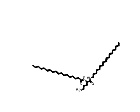 CCCCCC=CCC=CCCCCCCCCNC(=O)C(CCCN)NC(=O)CCCCCCCC=CCC=CCCCCC